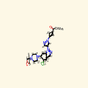 COC(=O)C12CC(n3cc(-n4ncc5cc(Cl)c(N6CCN(C7(C)COC7)CC6)cc54)cn3)(C1)C2